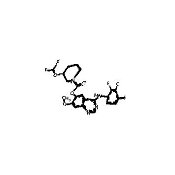 COc1cc2ncnc(Nc3ccc(F)c(Cl)c3F)c2cc1OC(=O)N1CCC[C@H](OC(F)F)C1